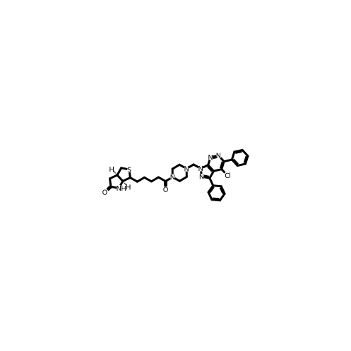 O=C1C[C@H]2CSC(CCCCC(=O)N3CCN(Cn4nc(-c5ccccc5)c5c(Cl)c(-c6ccccc6)nnc54)CC3)[C@H]2N1